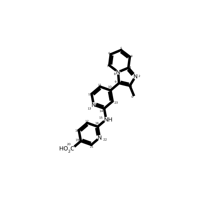 Cc1nc2ccccn2c1-c1ccnc(Nc2ccc(C(=O)O)cn2)c1